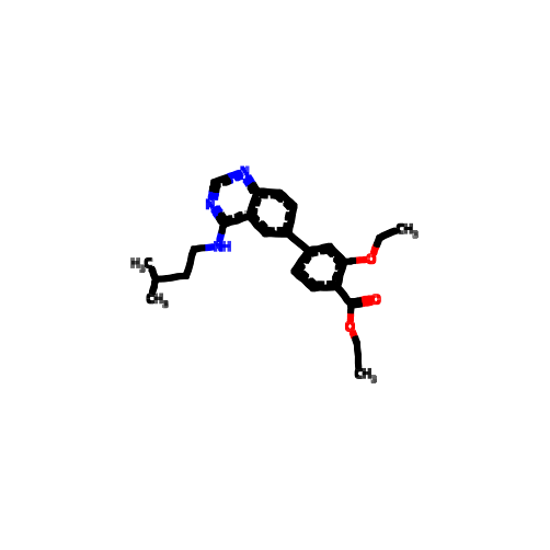 CCOC(=O)c1ccc(-c2ccc3ncnc(NCCC(C)C)c3c2)cc1OCC